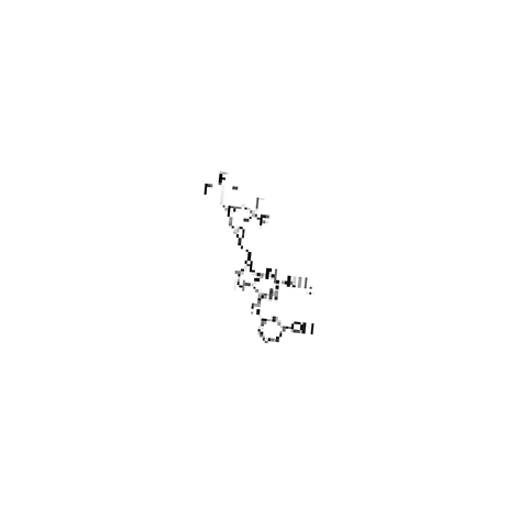 Nc1nc(Sc2cccc(O)c2)c2ncn(CCOCP(CC(F)(F)F)CC(F)(F)F)c2n1